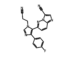 N#CCCn1cnc(-c2ccc(F)cc2)c1-c1ccc2ncc(C#N)n2n1